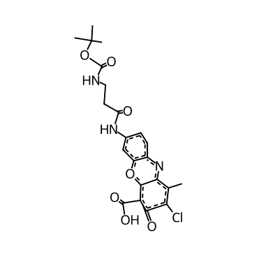 Cc1c2nc3ccc(NC(=O)CCNC(=O)OC(C)(C)C)cc3oc-2c(C(=O)O)c(=O)c1Cl